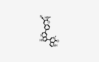 CNC(=O)C(C#N)=Cc1cccc(-c2cnc3[nH]cc(-c4cn(C)c(=O)c5[nH]ccc45)c3c2)c1